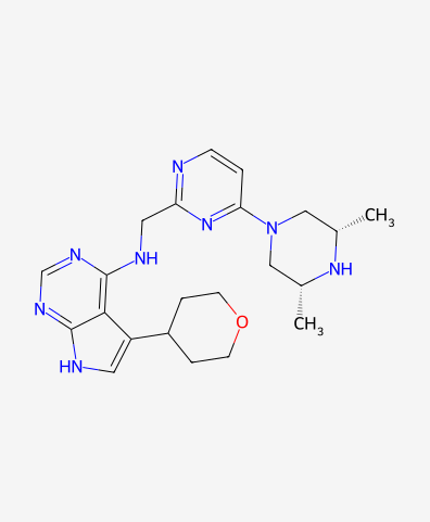 C[C@@H]1CN(c2ccnc(CNc3ncnc4[nH]cc(C5CCOCC5)c34)n2)C[C@H](C)N1